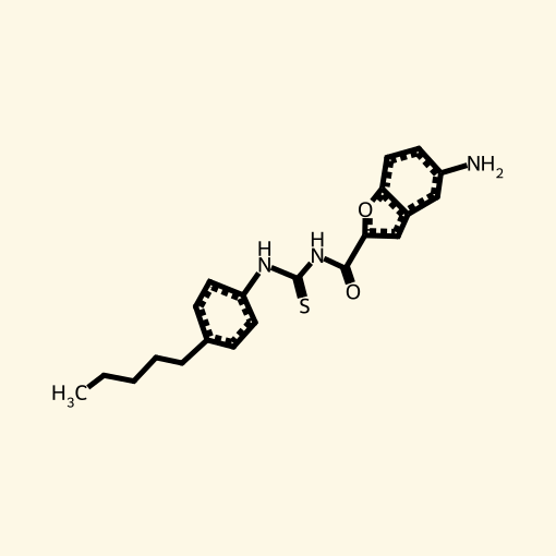 CCCCCc1ccc(NC(=S)NC(=O)c2cc3cc(N)ccc3o2)cc1